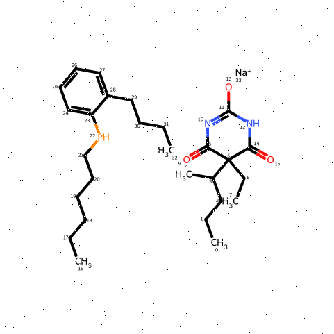 CCCC(C)C1(CC)C(=O)N=C([O-])NC1=O.CCCCCCPc1ccccc1CCCC.[Na+]